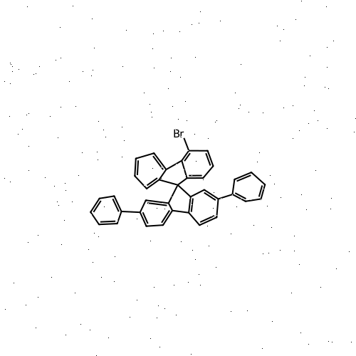 Brc1cccc2c1-c1ccccc1C21c2cc(-c3ccccc3)ccc2-c2ccc(-c3ccccc3)cc21